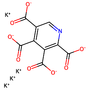 O=C([O-])c1cnc(C(=O)[O-])c(C(=O)[O-])c1C(=O)[O-].[K+].[K+].[K+].[K+]